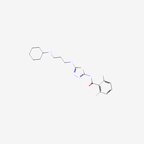 O=C(Nc1nnc(NCCCNC2CCCCC2)s1)c1c(Cl)cccc1Cl